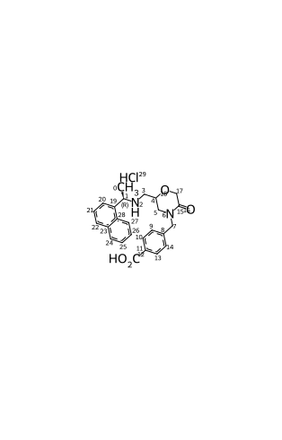 C[C@@H](NCC1CN(Cc2ccc(C(=O)O)cc2)C(=O)CO1)c1cccc2ccccc12.Cl